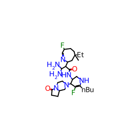 CCCCC1=C(F)C(N2CCN3C(=O)CCC3C2)C(NC(=O)C(C(N)N)C2C[C@](C)(CC)CCC(F)/C=N\2)CN1